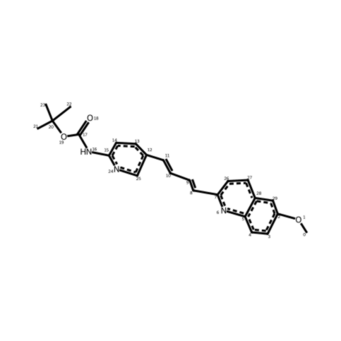 COc1ccc2nc(/C=C/C=C/c3ccc(NC(=O)OC(C)(C)C)nc3)ccc2c1